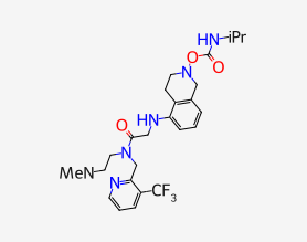 CNCCN(Cc1ncccc1C(F)(F)F)C(=O)CNc1cccc2c1CCN(OC(=O)NC(C)C)C2